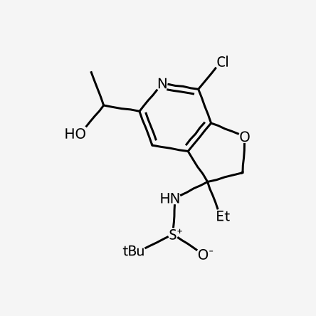 CCC1(N[S+]([O-])C(C)(C)C)COc2c1cc(C(C)O)nc2Cl